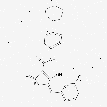 O=C1N/C(=C/c2cccc(Cl)c2)C(O)=C1C(=O)Nc1ccc(C2CCCCC2)cc1